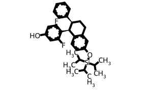 CC(C)[Si](Oc1ccc2c(c1)CC[C@H](c1ccccc1)[C@@H]2c1c(F)cc(O)cc1F)(C(C)C)C(C)C